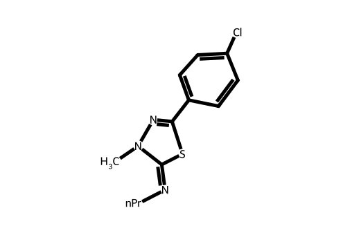 CCCN=c1sc(-c2ccc(Cl)cc2)nn1C